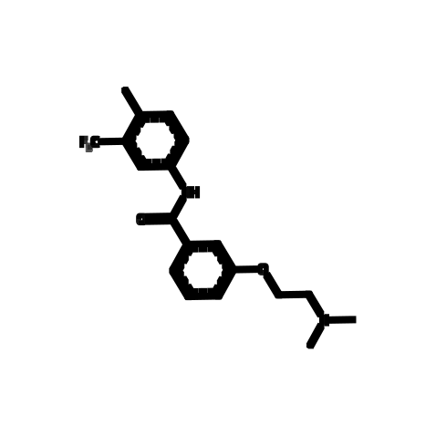 Cc1ccc(NC(=O)c2cccc(OCCN(C)C)c2)cc1C(F)(F)F